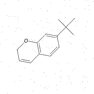 CC(C)(C)c1ccc2c(c1)OCC=C2